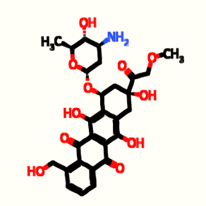 COCC(=O)[C@]1(O)Cc2c(O)c3c(c(O)c2[C@@H](O[C@H]2C[C@H](N)[C@@H](O)[C@H](C)O2)C1)C(=O)c1c(CO)cccc1C3=O